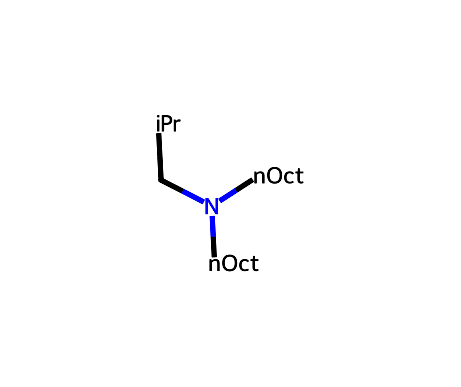 CCCCCCCCN(CCCCCCCC)CC(C)C